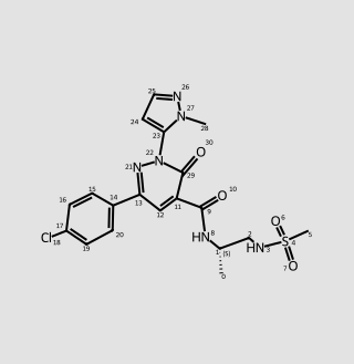 C[C@@H](CNS(C)(=O)=O)NC(=O)c1cc(-c2ccc(Cl)cc2)nn(-c2ccnn2C)c1=O